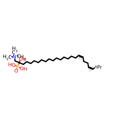 CCC/C=C\CC/C=C\CCCCCCCCCCCCCCCC(O)(C[N+](C)(C)C)P(=O)(O)O